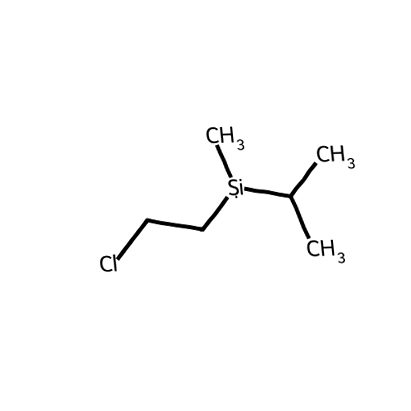 CC(C)[Si](C)CCCl